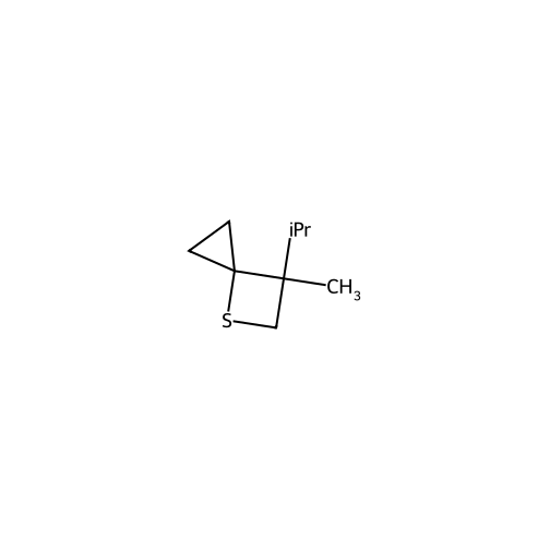 CC(C)C1(C)CSC12CC2